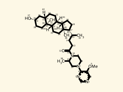 COc1cncnc1N1CCN(C(=O)CCC(C)[C@H]2CC[C@H]3[C@@H]4CC[C@H]5C[C@@H](O)CC[C@]5(C)[C@H]4CC[C@]23C)C(C)C1